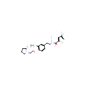 CC1CCCN1CCOc1ccc(CCNC(=O)c2cc(Br)cs2)cc1Br